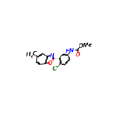 COC(=O)Nc1ccc(Cl)c(-c2nc3cc(C)ccc3o2)c1